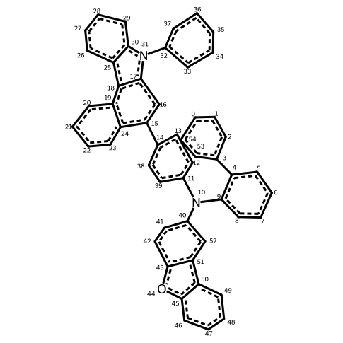 c1ccc(-c2ccccc2N(c2ccc(-c3cc4c(c5ccccc35)c3ccccc3n4-c3ccccc3)cc2)c2ccc3oc4ccccc4c3c2)cc1